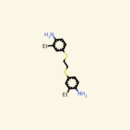 CCc1cc(SCCSc2ccc(N)c(CC)c2)ccc1N